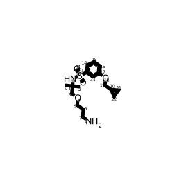 CC(C)(COCCCN)NS(=O)(=O)c1cccc(OCC2CC2)c1